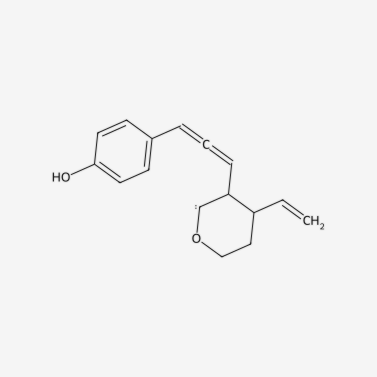 C=CC1CCO[C]C1C=C=Cc1ccc(O)cc1